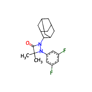 CC1(C)C(=O)N(C2C3CC4CC(C3)CC2C4)N1c1cc(F)cc(F)c1